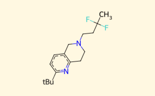 CC(F)(F)CCN1CCc2nc(C(C)(C)C)ccc2C1